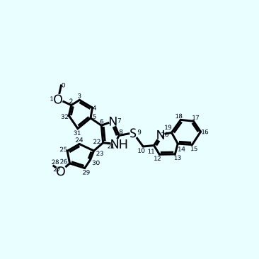 COc1ccc(-c2nc(SCc3ccc4ccccc4n3)[nH]c2-c2ccc(OC)cc2)cc1